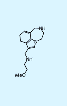 COCCNCc1cn2c3c1CCC=C3CNCC2